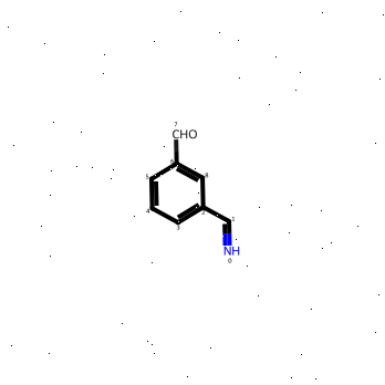 N=Cc1cccc(C=O)c1